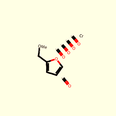 CO[C]c1ccco1.[C]=O.[C]=O.[C]=O.[C]=O.[C]=O.[Cr]